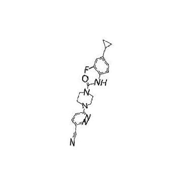 N#Cc1ccc(N2CCN(C(=O)Nc3ccc(C4CC4)cc3F)CC2)nn1